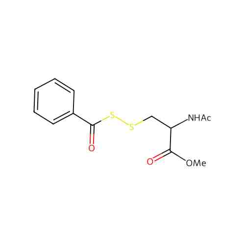 COC(=O)C(CSSC(=O)c1ccccc1)NC(C)=O